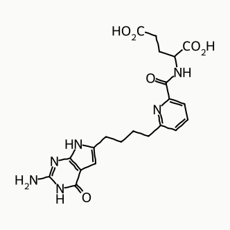 Nc1nc2[nH]c(CCCCc3cccc(C(=O)NC(CCC(=O)O)C(=O)O)n3)cc2c(=O)[nH]1